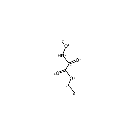 CCOC(=O)C(=O)NOC